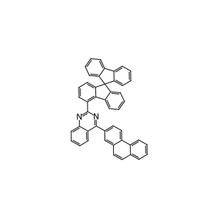 c1ccc2c(c1)-c1ccccc1C21c2ccccc2-c2c(-c3nc(-c4ccc5c(ccc6ccccc65)c4)c4ccccc4n3)cccc21